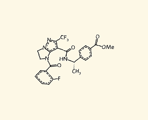 COC(=O)c1ccc([C@H](C)NC(=O)c2c(C(F)(F)F)nn3c2N(C(=O)c2ccccc2F)CC3)cc1